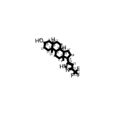 CC12CCC3[C@H](CC[C@H]4C[C@H](O)CCC34C)C1CCC2c1cc(C(F)(F)F)n[nH]1